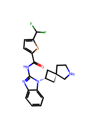 O=C(Nc1nc2ccccc2n1[C@H]1C[C@@]2(CCNC2)C1)c1ccc(C(F)F)s1